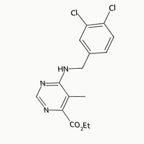 CCOC(=O)c1ncnc(NCc2ccc(Cl)c(Cl)c2)c1C